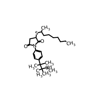 CBC(C)(C)C(C)(C)c1ccc(N2C(=O)CC(SC(C)CCCCCCC)C2=O)cc1